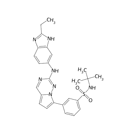 CCc1nc2ccc(Nc3ncc4ccc(-c5cccc(S(=O)(=O)NC(C)(C)C)c5)n4n3)cc2[nH]1